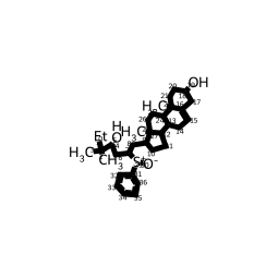 CCC(C)(C)C(O)CC(CC1CCC2C3CC=C4CC(O)CCC4(C)C3CCC12C)[S+]([O-])c1ccccc1